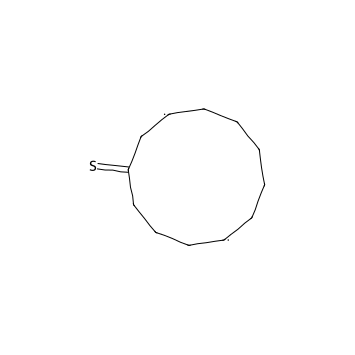 S=C1C[CH]CCCCC[CH]CCC1